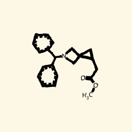 COC(=O)CC1CC12CN(C(c1ccccc1)c1ccccc1)C2